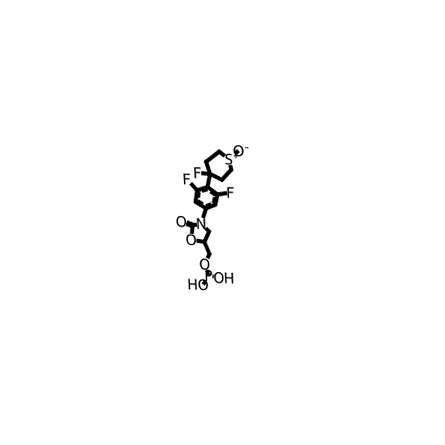 O=C1OC(COP(O)O)CN1c1cc(F)c(C2(F)CC[S+]([O-])CC2)c(F)c1